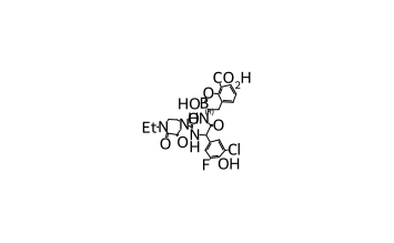 CCN1CCN(C(=O)NC(C(=O)N[C@H]2Cc3cccc(C(=O)O)c3OB2O)c2cc(F)c(O)c(Cl)c2)C(=O)C1=O